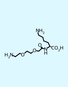 NCCCC[C@H](NC(=O)COCCOCCN)C(=O)O